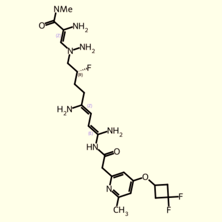 CNC(=O)/C(N)=C/N(N)C[C@H](F)CC/C(N)=C/C=C(\N)NC(=O)Cc1cc(OC2CC(F)(F)C2)cc(C)n1